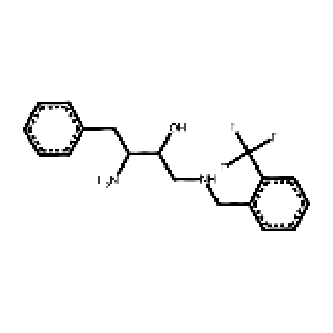 NC(Cc1ccccc1)C(O)CNCc1ccccc1C(F)(F)F